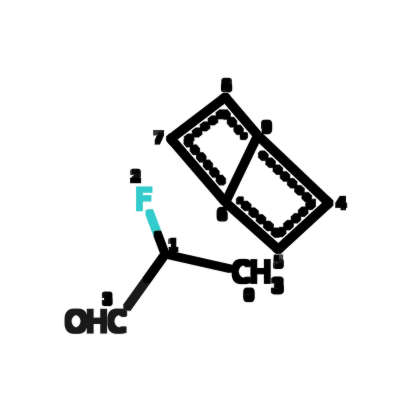 CC(F)C=O.c1cc2ccc1-2